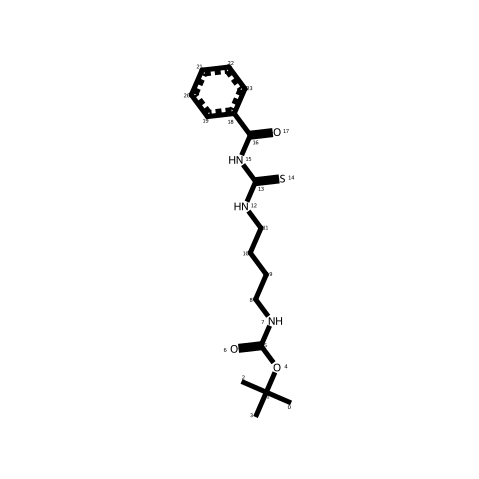 CC(C)(C)OC(=O)NCCCCNC(=S)NC(=O)c1ccccc1